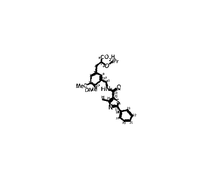 COc1cc(CC(OC(C)C)C(=O)O)cc(CNC(=O)c2sc(-c3ccccc3)nc2C)c1OC